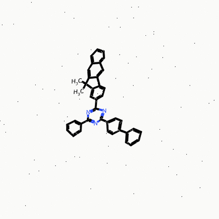 CC1(C)c2cc(-c3nc(-c4ccccc4)nc(-c4ccc(-c5ccccc5)cc4)n3)ccc2-c2cc3ccccc3cc21